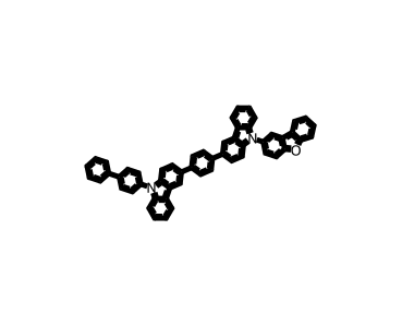 c1ccc(-c2ccc(-n3c4ccccc4c4cc(-c5ccc(-c6ccc7c(c6)c6ccccc6n7-c6ccc7oc8ccccc8c7c6)cc5)ccc43)cc2)cc1